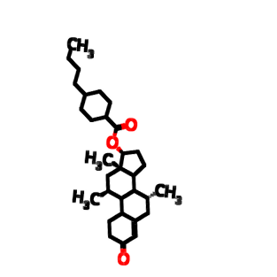 CCCCC1CCC(C(=O)O[C@H]2CCC3C4C(C5CCC(=O)C=C5C[C@H]4C)[C@@H](C)C[C@@]32C)CC1